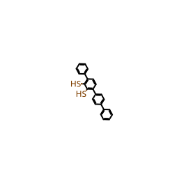 Sc1c(-c2ccccc2)ccc(-c2ccc(-c3ccccc3)cc2)c1S